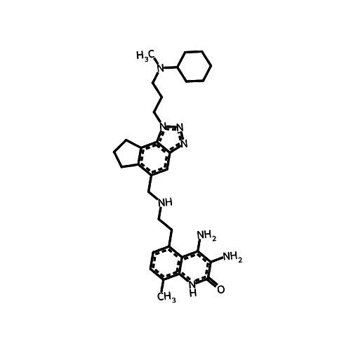 Cc1ccc(CCNCc2cc3nnn(CCCN(C)C4CCCCC4)c3c3c2CCC3)c2c(N)c(N)c(=O)[nH]c12